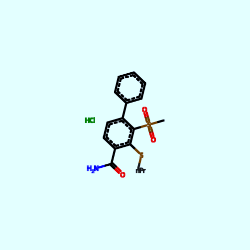 CCCSc1c(C(N)=O)ccc(-c2ccccc2)c1S(C)(=O)=O.Cl